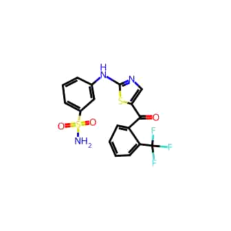 NS(=O)(=O)c1cccc(Nc2ncc(C(=O)c3ccccc3C(F)(F)F)s2)c1